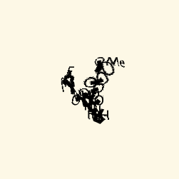 COC(=O)COC(=O)OCOc1c2n(cc(C(=O)NCc3ccc(F)cc3F)c1=O)C[C@@H]1N(C[C@H]3CCCN31)C2=O